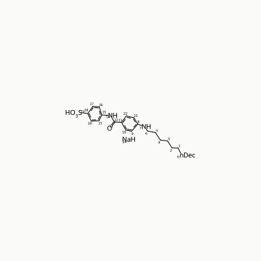 CCCCCCCCCCCCCCCCNc1ccc(C(=O)Nc2ccc(S(=O)(=O)O)cc2)cc1.[NaH]